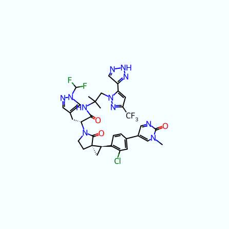 Cn1cc(-c2ccc([C@H]3C[C@@]34CCN([C@H](Cc3cnn(C(F)F)c3)C(=O)NC(C)(C)Cn3nc(C(F)(F)F)cc3-c3cn[nH]n3)C4=O)c(Cl)c2)cnc1=O